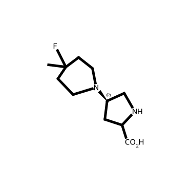 CC1(F)CCN([C@H]2CNC(C(=O)O)C2)CC1